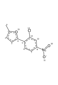 Cc1ccc(-c2ccc([N+](=O)[O-])cc2Cl)o1